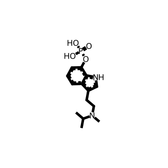 CC(C)N(C)CCc1c[nH]c2c(OP(=O)(O)O)cccc12